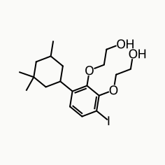 CC1CC(c2ccc(I)c(OCCO)c2OCCO)CC(C)(C)C1